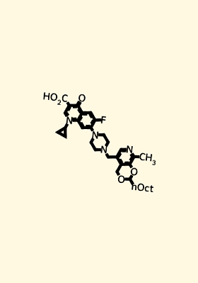 CCCCCCCCC1OCc2c(CN3CCN(c4cc5c(cc4F)c(=O)c(C(=O)O)cn5C4CC4)CC3)cnc(C)c2O1